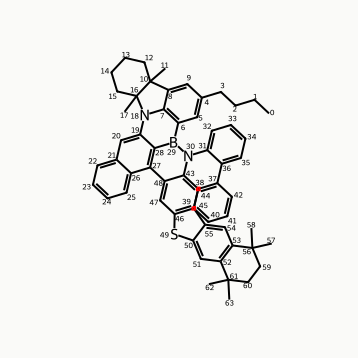 CCCCc1cc2c3c(c1)C1(C)CCCCC1(C)N3c1cc3ccccc3c3c1B2N(c1ccccc1-c1ccccc1)c1cc2c(cc1-3)sc1cc3c(cc12)C(C)(C)CCC3(C)C